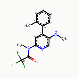 CNc1cnc(N(C)C(=O)C(F)(F)F)cc1-c1ccccc1C